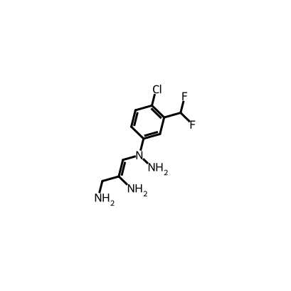 NC/C(N)=C/N(N)c1ccc(Cl)c(C(F)F)c1